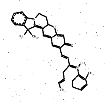 C/C=C/CC(/C=C/C1=CC2=CC3=C4N(CCC3OC2=CC1=O)c1ccccc1C4(C)C)=[N+](/C)C1=C(C)C=CCC1